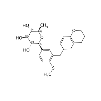 CSc1ccc([C@@H]2O[C@H](C)[C@@H](O)[C@H](O)[C@H]2O)cc1Cc1ccc2c(c1)CCCO2